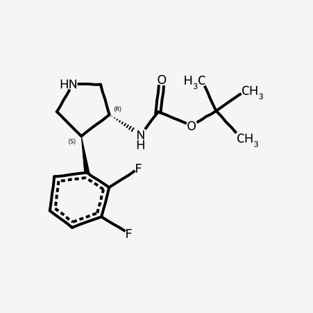 CC(C)(C)OC(=O)N[C@H]1CNC[C@@H]1c1cccc(F)c1F